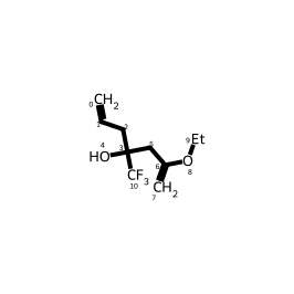 C=CCC(O)(CC(=C)OCC)C(F)(F)F